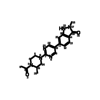 CC(=O)N1CCN(c2ncc(-c3ccc4c(=O)n(C)[nH]c4c3)cn2)C[C@H]1C